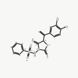 C=C(c1ccc(Cl)c(Cl)c1)C1SC(=S)N(NS(=O)(=O)c2ccccc2)C1=O